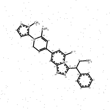 Cn1nccc1N1CC=C(c2cc(F)n3c(C(CN)c4ccccc4)nnc3c2)C=C1[AsH2]